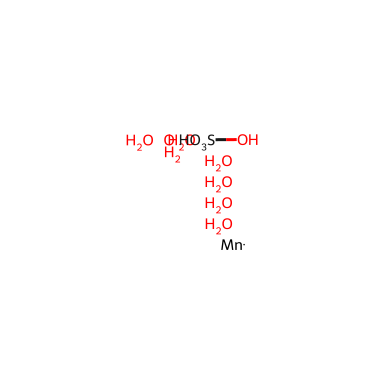 O.O.O.O.O.O.O.O=S(=O)(O)O.[Mn]